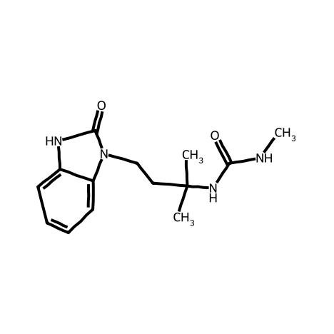 CNC(=O)NC(C)(C)CCn1c(=O)[nH]c2ccccc21